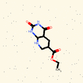 CCOC(=O)C1CNC2NC(=O)NC(=O)C2C1